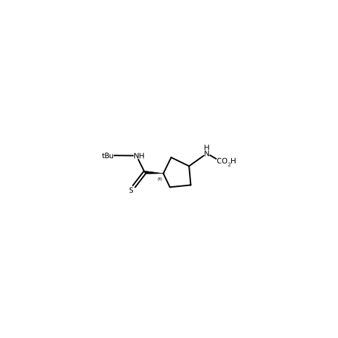 CC(C)(C)NC(=S)[C@@H]1CCC(NC(=O)O)C1